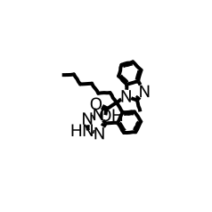 CCCCCCC(C(=O)O)(c1ccccc1-c1nn[nH]n1)n1c(C)nc2ccccc21